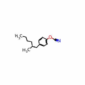 CCCCC(C)Cc1ccc(OC#N)cc1